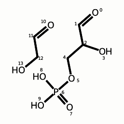 O=CC(O)COP(=O)(O)O.O=CCO